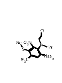 CCCN(CCCl)c1c([N+](=O)[O-])cc(C(F)(F)F)c(SC#N)c1[N+](=O)[O-]